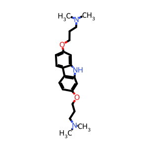 CN(C)CCCOc1ccc2c(c1)[nH]c1cc(OCCCN(C)C)ccc12